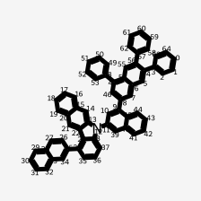 c1ccc(-c2cc3cc(-c4cc(-n5c6cc7ccccc7cc6c6c(-c7ccc8ccccc8c7)cccc65)cc5ccccc45)cc(-c4ccccc4)c3cc2-c2ccccc2)cc1